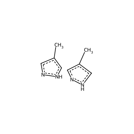 Cc1cn[nH]c1.Cc1cn[nH]c1